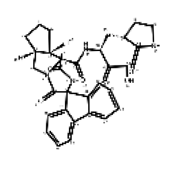 CC(=O)NC1(C(=O)N2C[C@@H]3CCC[C@@H]3[C@H]2C(=O)N[C@@H](C[C@@H]2CCNC2=O)C(=O)CO)c2ccccc2-c2ccccc21